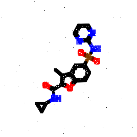 Cc1c(C(=O)NC2CC2)oc2ccc(S(=O)(=O)Nc3ncccn3)cc12